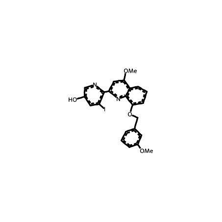 COc1cccc(COc2cccc3c(OC)cc(-c4ncc(O)cc4I)nc23)c1